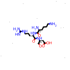 N=C(N)NCCC[C@H](NC(=O)[C@@H](N)CCCCN)C(=O)N[C@H]([C]=O)CC(=O)O